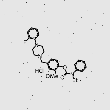 CCN(C(=O)Oc1ccc(CN2CCN(c3ccccc3F)CC2)cc1OC)c1ccccc1.Cl